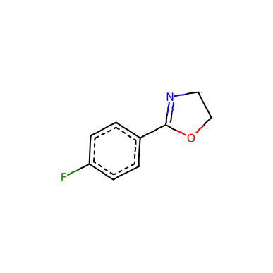 Fc1ccc(C2=N[CH]CO2)cc1